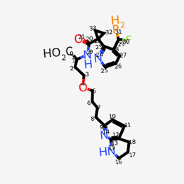 O=C(O)C(CCOCCCCc1ccc2c(n1)NCCC2)NC(=O)C1(c2ncccc2C(F)P)CC1